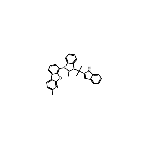 Cc1ccc2c(n1)oc1c(N3c4ccccc4N(C(C)(C)c4cc5ccccc5[nH]4)C3C)cccc12